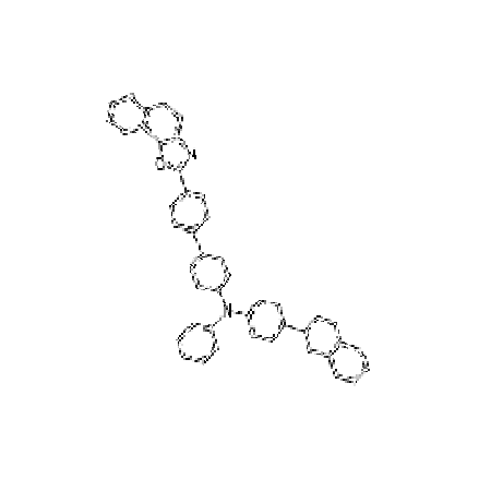 c1ccc(N(c2ccc(-c3ccc(-c4nc5ccc6ccccc6c5o4)cc3)cc2)c2ccc(-c3ccc4ccccc4c3)cc2)cc1